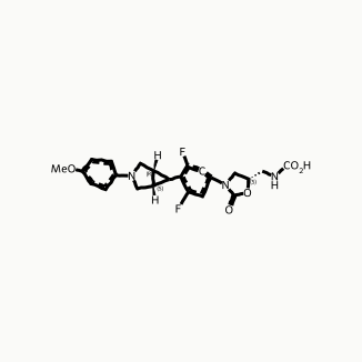 COc1ccc(N2C[C@@H]3C(c4c(F)cc(N5C[C@H](CNC(=O)O)OC5=O)cc4F)[C@@H]3C2)cc1